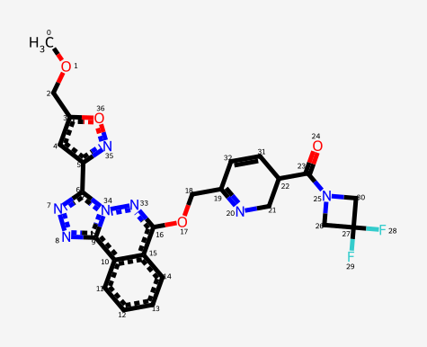 COCc1cc(-c2nnc3c4ccccc4c(OCC4=NCC(C(=O)N5CC(F)(F)C5)C=C4)nn23)no1